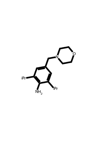 CC(C)c1cc(CN2CCOCC2)cc(C(C)C)c1N